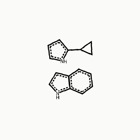 c1c[nH]c(C2CC2)c1.c1ccc2[nH]ccc2c1